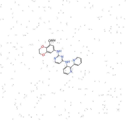 COc1cc(Nc2nccc(Nc3cccnc3-c3ccccn3)n2)cc2c1OCCO2